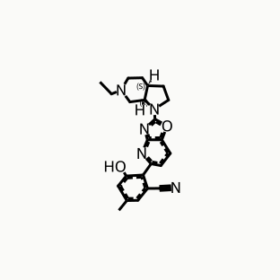 CCN1CC[C@H]2CCN(c3nc4nc(-c5c(O)cc(C)cc5C#N)ccc4o3)[C@H]2C1